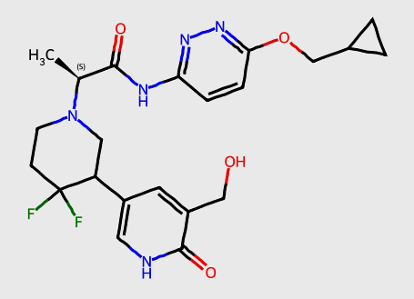 C[C@@H](C(=O)Nc1ccc(OCC2CC2)nn1)N1CCC(F)(F)C(c2c[nH]c(=O)c(CO)c2)C1